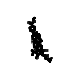 CCOC(=O)C1CC=C(C2=CC[C@]3(C)[C@H]4CC[C@@H]5C6=C(C(C)C)C(=O)C[C@]6([C@@H](O)CNCC6CC6)CC[C@@]5(C)[C@]4(C)CC[C@H]3C2(C)C)CC1